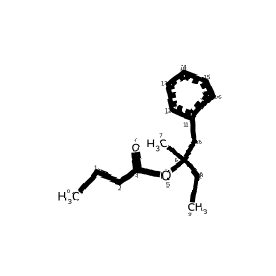 CCCC(=O)OC(C)(CC)Cc1ccccc1